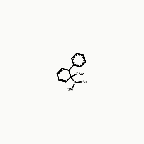 COC1(P(C(C)(C)C)C(C)(C)C)C=CC=CC1c1ccccc1